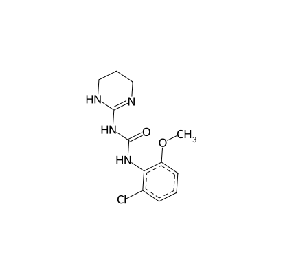 COc1cccc(Cl)c1NC(=O)NC1=NCCCN1